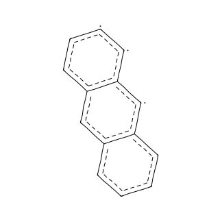 [c]1[c]c2[c]c3ccccc3cc2cc1